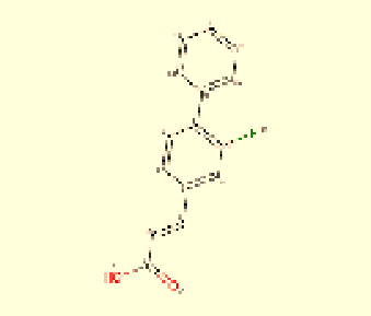 O=C(O)/C=C/c1ccc(-c2ccccc2)c(F)c1